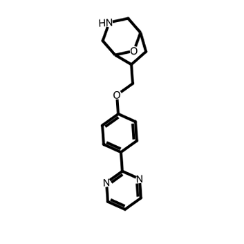 c1cnc(-c2ccc(OCC3CC4CNCC3O4)cc2)nc1